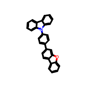 c1ccc2c(c1)oc1cc(-c3ccc(-n4c5ccccc5c5ccccc54)cc3)ccc12